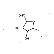 CC1OC(C=O)C(O)C1O